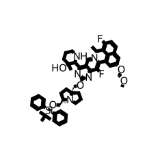 CCc1c(F)ccc2cc(OCOC)cc(-c3ncc4c(C5NCCCC5(C)O)nc(OC[C@]56CCCN5[C@@H](CO[Si](c5ccccc5)(c5ccccc5)C(C)(C)C)CC6)nc4c3F)c12